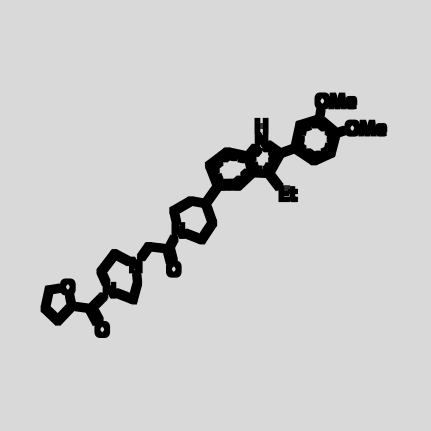 CCc1c(-c2ccc(OC)c(OC)c2)[nH]c2ccc(C3CCN(C(=O)CN4CCN(C(=O)C5CCCO5)CC4)CC3)cc12